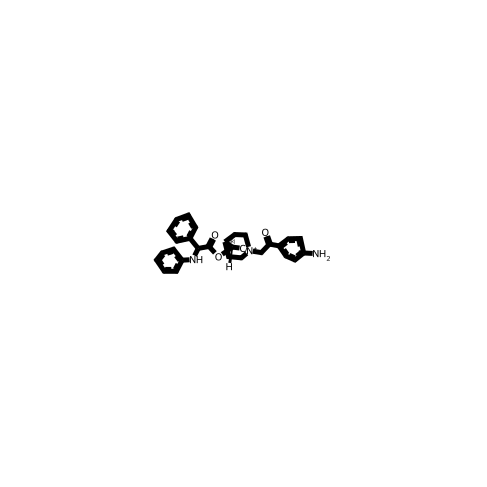 Nc1ccc(C(=O)C[N+]23CCC(CC2)[C@@H](OC(=O)C(Nc2ccccc2)c2ccccc2)C3)cc1